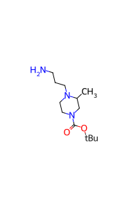 CC1CN(C(=O)OC(C)(C)C)CCN1CCCN